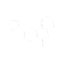 CC(Nc1ccncn1)c1ccc(-n2cncn2)cc1